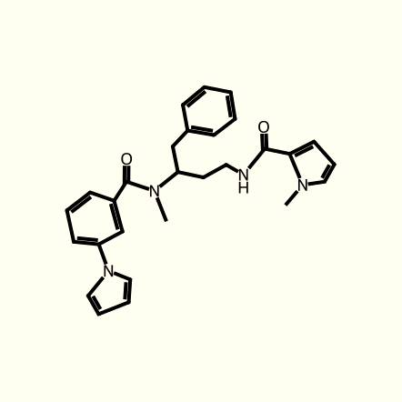 CN(C(=O)c1cccc(-n2cccc2)c1)C(CCNC(=O)c1cccn1C)Cc1ccccc1